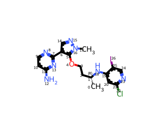 C[C@H](CCOc1c(-c2nccc(N)n2)cnn1C)Nc1cc(Cl)ncc1I